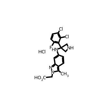 Cc1c2ccc(NC3(c4c(F)ccc(Cl)c4Cl)CNC3)cc2nn1CC(=O)O.Cl